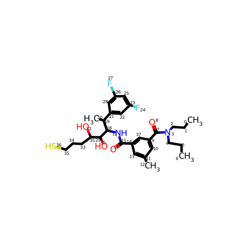 CCCN(CCC)C(=O)c1cc(C)cc(C(=O)NC(C(C)c2cc(F)cc(F)c2)C(O)C(O)CCCS)c1